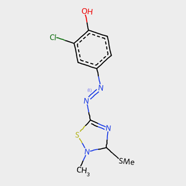 CSC1N=C(/N=N/c2ccc(O)c(Cl)c2)SN1C